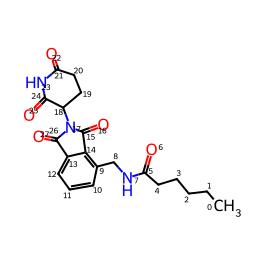 CCCCCC(=O)NCc1cccc2c1C(=O)N(C1CCC(=O)NC1=O)C2=O